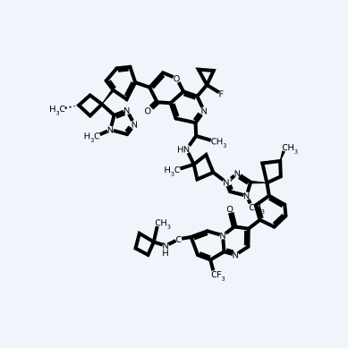 CC(NC1(C)CC([n+]2cn(C)c([C@]3(c4cccc(-c5cnc6c(C(F)(F)F)cc(CNC7(C)CCC7)cn6c5=O)c4)C[C@H](C)C3)n2)C1)c1cc2c(=O)c(-c3cccc([C@]4(c5nncn5C)C[C@@H](C)C4)c3)coc2c(C2(F)CC2)n1